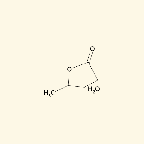 CC1CCC(=O)O1.O